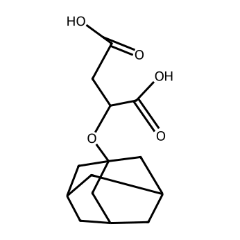 O=C(O)CC(OC12CC3CC(CC(C3)C1)C2)C(=O)O